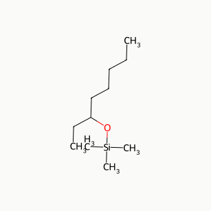 CCCCCC(CC)O[Si](C)(C)C